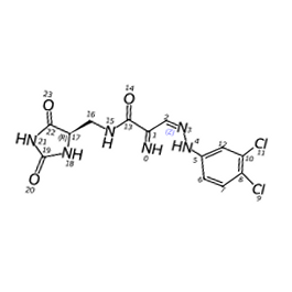 N=C(/C=N\Nc1ccc(Cl)c(Cl)c1)C(=O)NC[C@H]1NC(=O)NC1=O